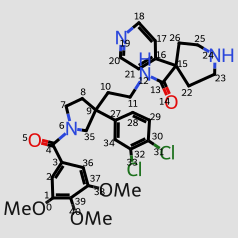 COc1cc(C(=O)N2CCC(CCNC(=O)C3(c4ccncc4)CCNCC3)(c3ccc(Cl)c(Cl)c3)C2)cc(OC)c1OC